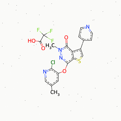 Cc1cnc(Cl)c(Oc2nn(C)c(=O)c3c(-c4ccncc4)csc23)c1.O=C(O)C(F)(F)F